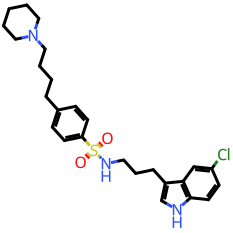 O=S(=O)(NCCCc1c[nH]c2ccc(Cl)cc12)c1ccc(CCCCN2CCCCC2)cc1